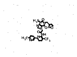 Cc1ccc(-c2ccc(C(F)(F)F)c(NC(=O)Cn3cnc4c3c(=O)n(Cc3ccon3)c(=O)n4C)n2)cn1